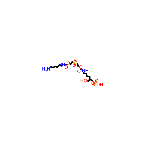 CP(=O)(O)OCC(CO)CCCCNC(=O)OCCS(=O)(=O)CCOC(=O)NCCCCCCN